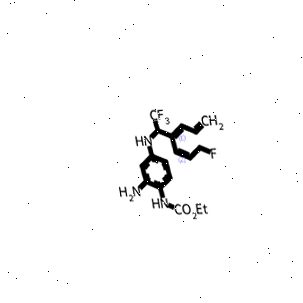 C=C/C=C(\C=C/CF)C(Nc1ccc(NC(=O)OCC)c(N)c1)C(F)(F)F